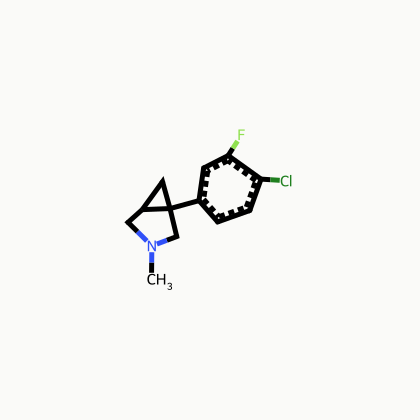 CN1CC2CC2(c2ccc(Cl)c(F)c2)C1